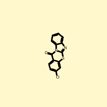 O=c1c2ccc(Cl)cc2sc2nc3ccccc3n12